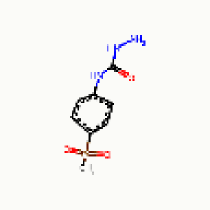 CS(=O)(=O)c1ccc(NC(=O)NN)cc1